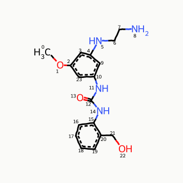 COc1cc(NCCN)cc(NC(=O)Nc2ccccc2CO)c1